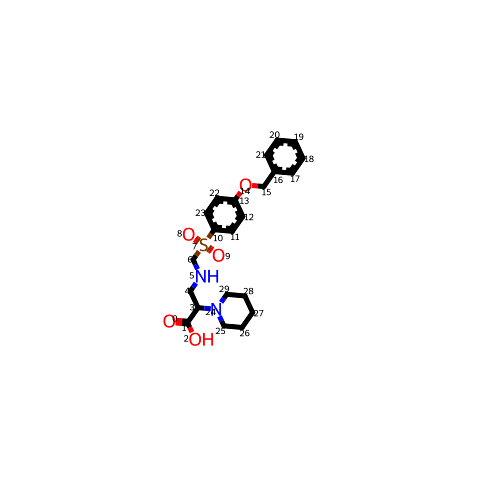 O=C(O)C(CNCS(=O)(=O)c1ccc(OCc2ccccc2)cc1)N1CCCCC1